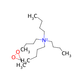 CCCC[N+](CCCC)(CCCC)CCCC.C[C]1OO1